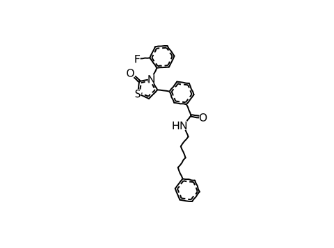 O=C(NCCCCc1ccccc1)c1cccc(-c2csc(=O)n2-c2ccccc2F)c1